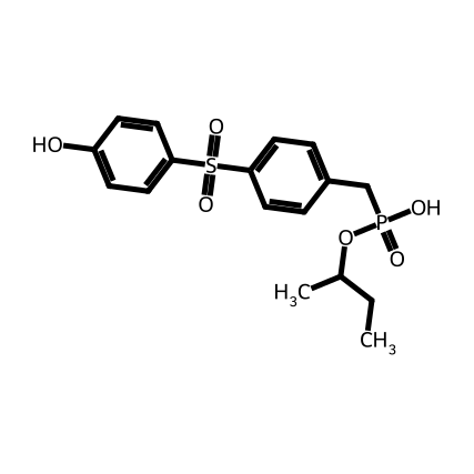 CCC(C)OP(=O)(O)Cc1ccc(S(=O)(=O)c2ccc(O)cc2)cc1